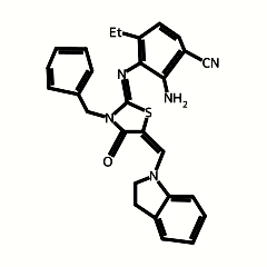 CCc1ccc(C#N)c(N)c1N=C1SC(=CN2CCc3ccccc32)C(=O)N1Cc1ccccc1